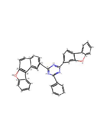 c1ccc(-c2nc(-c3ccc4c(c3)oc3ccccc34)nc(-c3ccc4ccc5oc6ccccc6c5c4c3)n2)cc1